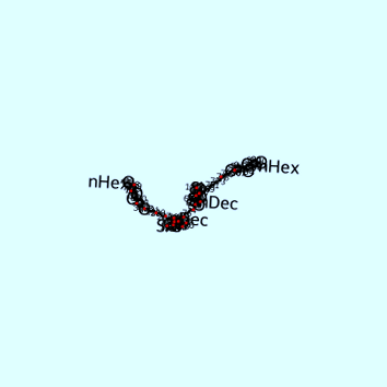 CCCCCCCCCCC(OCCCCCCCOC(CCCCCCCCCC)[Si](C)(O[Si](C)(C)C)O[Si](C)(CCCCCCCCCCCOc1ccc(C(=O)Oc2ccc(OCCCCCC)cc2)cc1)O[Si](C)(C)C)[Si](C)(O[Si](C)(C)C)O[Si](C)(CCCCCCCCCCCOc1ccc(C(=O)Oc2ccc(OCCCCCC)cc2)cc1)O[Si](C)(C)C